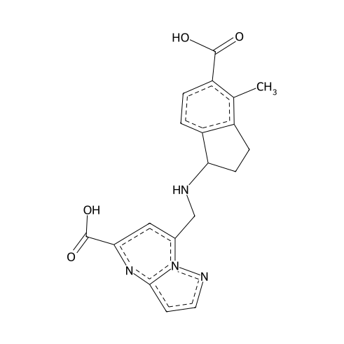 Cc1c(C(=O)O)ccc2c1CCC2NCc1cc(C(=O)O)nc2ccnn12